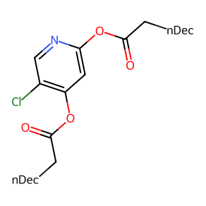 CCCCCCCCCCCC(=O)Oc1cc(OC(=O)CCCCCCCCCCC)c(Cl)cn1